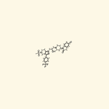 CS(=O)(=O)N1CCc2c(c(-c3ccc(C(F)(F)F)cc3)nn2CC(O)CN2CCC(N3C(=O)Cc4cc(Cl)ccc43)CC2)C1